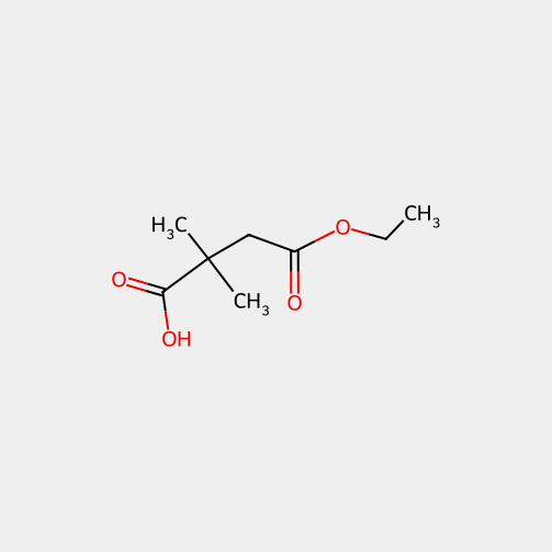 CCOC(=O)CC(C)(C)C(=O)O